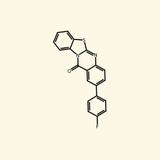 O=c1c2cc(-c3ccc(F)cc3)ccc2nc2sc3ccccc3n12